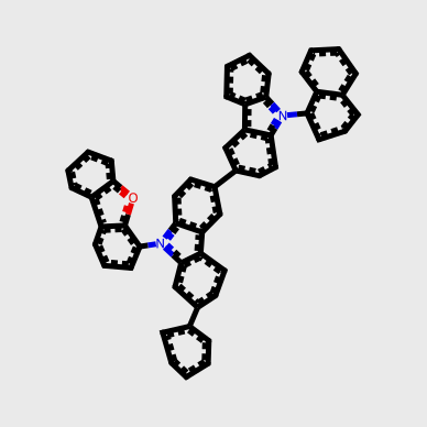 c1ccc(-c2ccc3c4cc(-c5ccc6c(c5)c5ccccc5n6-c5cccc6ccccc56)ccc4n(-c4cccc5c4oc4ccccc45)c3c2)cc1